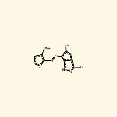 CCCc1nn2c(CC)n[nH]c2c1N=Nc1sncc1OC